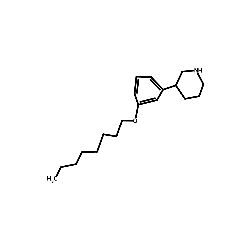 CCCCCCCCOc1cccc(C2CCCNC2)c1